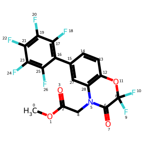 COC(=O)CN1C(=O)C(F)(F)Oc2ccc(-c3c(F)c(F)c(F)c(F)c3F)cc21